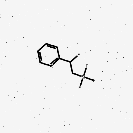 FC(C[Si](F)(F)F)c1ccccc1